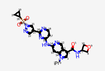 CC(C)n1cc(C(=O)NC2COC2)c2cnc(Nc3ccnc(-c4cnn(S(=O)(=O)C5CC5)c4)n3)cc21